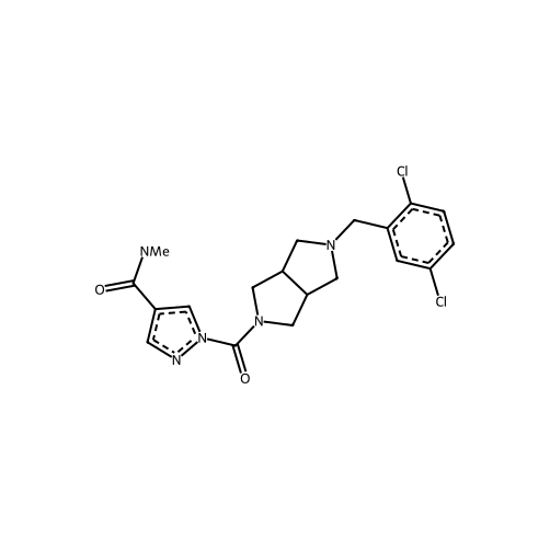 CNC(=O)c1cnn(C(=O)N2CC3CN(Cc4cc(Cl)ccc4Cl)CC3C2)c1